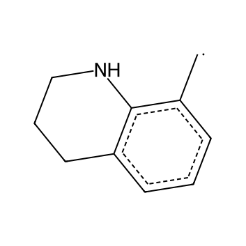 [CH2]c1cccc2c1NCCC2